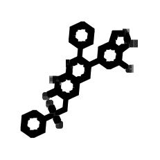 O=c1[nH]c2nc(-c3ccccc3)c(-c3cc(Cl)c4[nH]ncc4c3)cc2cc1CS(=O)(=O)c1ccccc1